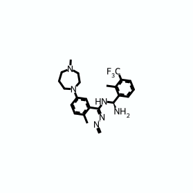 C=N/N=C(/N[C@H](N)c1cccc(C(F)(F)F)c1C)c1cc(N2CCCN(C)CC2)ccc1C